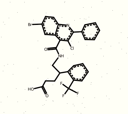 O=C(O)CCC(CNC(=O)c1c(Cl)c(-c2ccccc2)nc2ccc(Br)cc12)c1ccccc1C(F)(F)F